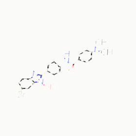 CN(C)c1ccc(C(=O)Nc2ccc(-c3nc4ccc(Br)cc4n3O)cc2)cc1